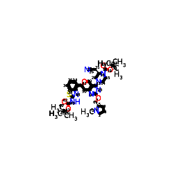 CN1CCC[C@H]1COc1nc2c(c(N3CCN(C(=O)OC(C)(C)C)[C@@H](CC#N)C3)n1)COC(c1cccc3sc(NC(=O)OC(C)(C)C)nc13)C2